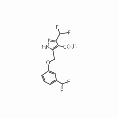 O=C(O)c1c(C(F)F)n[nH]c1COc1cccc(C(F)F)c1